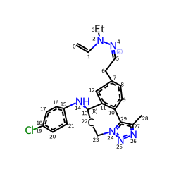 C=CN(CC)/N=C\Cc1ccc2c(c1)[C@H](Nc1ccc(Cl)cc1)CCn1nnc(C)c1-2